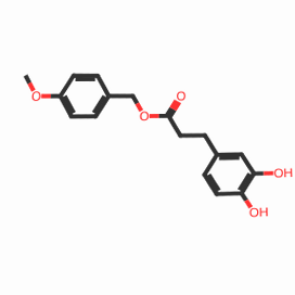 COc1ccc(COC(=O)CCc2ccc(O)c(O)c2)cc1